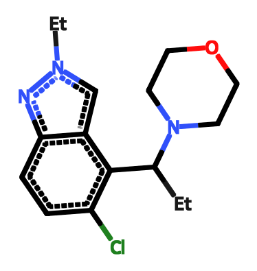 [CH2]CC(c1c(Cl)ccc2nn(CC)cc12)N1CCOCC1